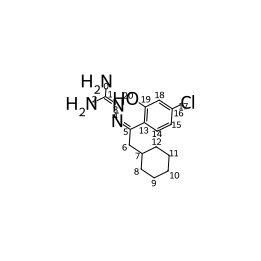 NC(N)=N/N=C(/CC1CCCCC1)c1ccc(Cl)cc1O